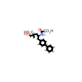 C[C@@](CO)(CC(Cc1ccc(-c2ccccc2)cc1)NC(=O)C(=O)O)C(=O)O